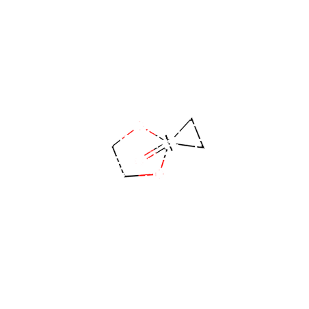 [O]=[Ti]123([CH2][CH2]1)([CH2][CH2]2)[O]CC[O]3